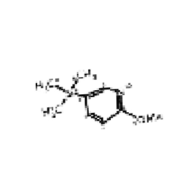 COc1ccc([Si](C)(C)C)cn1